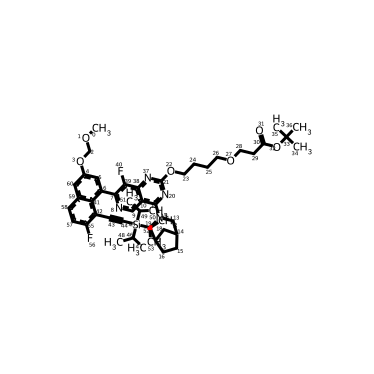 COCOc1cc(-c2ncc3c(N4CC5CCC(C5)C4)nc(OCCCCOCCC(=O)OC(C)(C)C)nc3c2F)c2c(C#C[Si](C(C)C)(C(C)C)C(C)C)c(F)ccc2c1